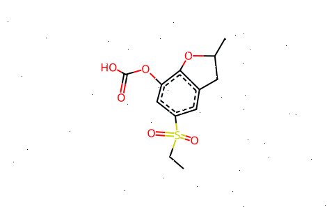 CCS(=O)(=O)c1cc2c(c(OC(=O)O)c1)OC(C)C2